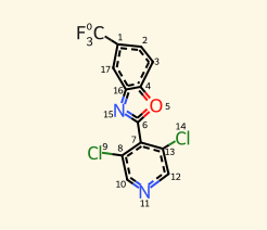 FC(F)(F)c1ccc2oc(-c3c(Cl)cncc3Cl)nc2c1